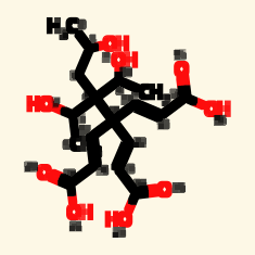 CC(O)CC(C(C)O)(C(C)O)C(C=CC(=O)O)(C=CC(=O)O)C=CC(=O)O